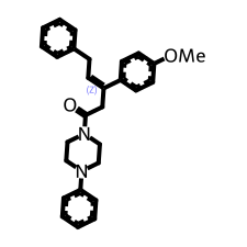 COc1ccc(/C(=C\Cc2ccccc2)CC(=O)N2CCN(c3ccccc3)CC2)cc1